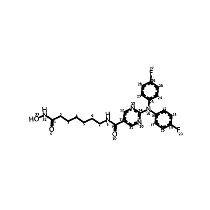 O=C(CCCCCCNC(=O)c1cnc(N(c2ccc(F)cc2)c2ccc(F)cc2)nc1)NO